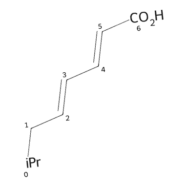 CC(C)CC=CC=CC(=O)O